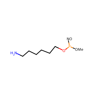 COP(N=O)OCCCCCCN